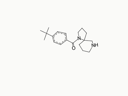 CC(C)(C)c1ccc(C(=O)N2CCCC23CCCNC3)cc1